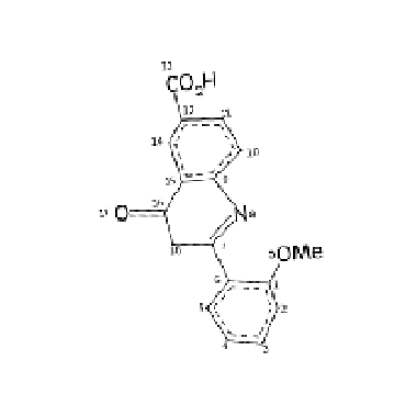 COc1ccccc1C1=Nc2ccc(C(=O)O)cc2C(=O)C1